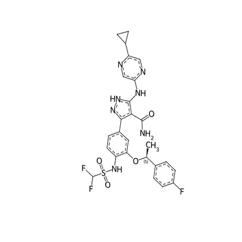 C[C@H](Oc1cc(-c2n[nH]c(Nc3cnc(C4CC4)cn3)c2C(N)=O)ccc1NS(=O)(=O)C(F)F)c1ccc(F)cc1